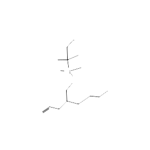 C=CCC(CCCC)CO[Si](C)(C)C(C)(C)CI